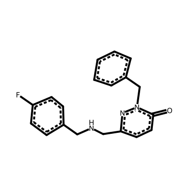 O=c1ccc(CNCc2ccc(F)cc2)nn1Cc1ccccc1